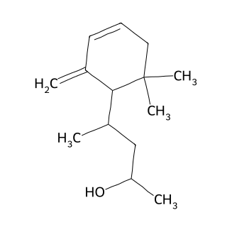 C=C1C=CCC(C)(C)C1C(C)CC(C)O